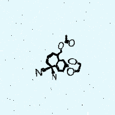 CC(=O)OCC1C=CCC(C#N)(C#N)C2=CCC3(CC21)OCCO3